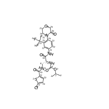 CC(C)OC(=O)N[C@H](CNC(=O)c1ccc(Cl)s1)C(=O)Nc1ccc(N2CCOCC2=O)c(C(F)(F)F)c1